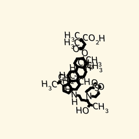 C=C(C)[C@@H]1CC[C@]2(NCCC(C(C)O)N3CCS(=O)(=O)CC3)CC[C@]3(C)[C@H](CC[C@@H]4[C@@]5(C)CC[C@H](OC(=O)CC(C)(C)C(=O)O)C(C)(C)[C@@H]5CC[C@]43C)[C@@H]12